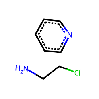 NCCCl.c1ccncc1